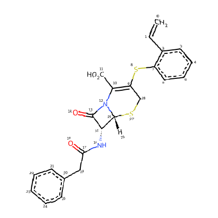 C=Cc1ccccc1SC1=C(C(=O)O)N2C(=O)[C@@H](NC(=O)Cc3ccccc3)[C@H]2SC1